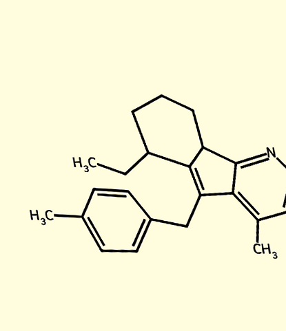 CCC1CCCC2C1=C(Cc1ccc(C)cc1)c1c(C)ccnc12